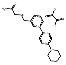 NC(=O)CNCc1cccc(-c2ccc(N3CCOCC3)cc2)c1.O=C(O)C(=O)O